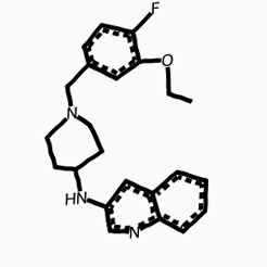 CCOc1cc(CN2CCC(Nc3cnc4ccccc4c3)CC2)ccc1F